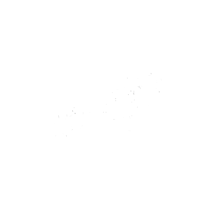 COC(=O)N(C(=O)c1ccc(OCc2nc3ccccc3o2)cc1OC)c1ccccc1C